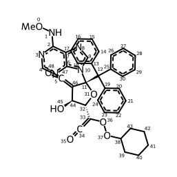 CONc1ncnc2c1ncn2[C@]1(C(c2ccccc2)(c2ccccc2)c2ccccc2)O[C@H](C(=C=O)OOC2CCCCC2)[C@@H](O)C1=C=O